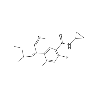 CCC(C)/C=C(\C=N/C)c1cc(C(=O)NC2CC2)c(F)cc1C